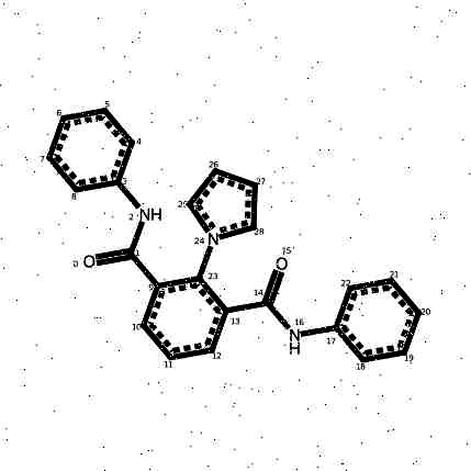 O=C(Nc1ccccc1)c1cccc(C(=O)Nc2ccccc2)c1-n1cccc1